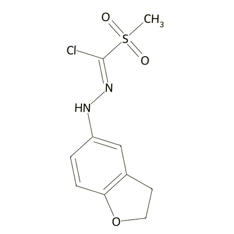 CS(=O)(=O)/C(Cl)=N/Nc1ccc2c(c1)CCO2